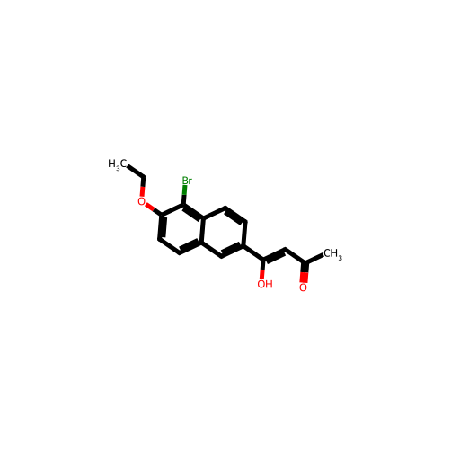 CCOc1ccc2cc(/C(O)=C/C(C)=O)ccc2c1Br